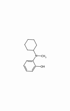 CN(c1ccccc1O)C1CCCCC1